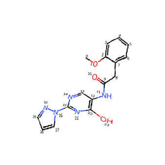 COc1ccccc1CC(=O)Nc1cnc(-n2cccn2)nc1O